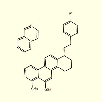 COc1cccc2c1c(OC)cc1c3c(ccc12)[C@H](CCc1ccc(Br)cc1)CCC3.c1ccc2cnccc2c1